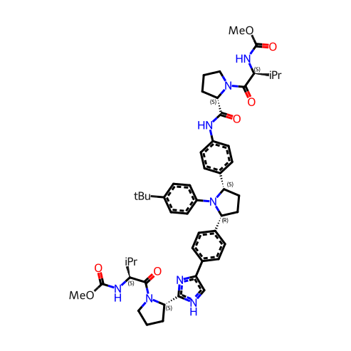 COC(=O)N[C@H](C(=O)N1CCC[C@H]1C(=O)Nc1ccc([C@@H]2CC[C@H](c3ccc(-c4c[nH]c([C@@H]5CCCN5C(=O)[C@@H](NC(=O)OC)C(C)C)n4)cc3)N2c2ccc(C(C)(C)C)cc2)cc1)C(C)C